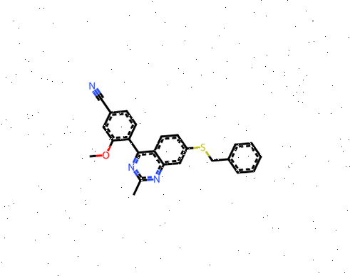 COc1cc(C#N)ccc1-c1nc(C)nc2cc(SCc3ccccc3)ccc12